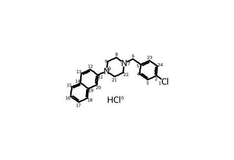 Cl.Clc1ccc(CN2CCN(c3ccc4ccccc4c3)CC2)cc1